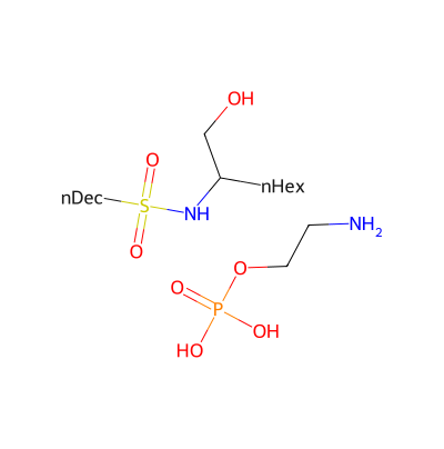 CCCCCCCCCCS(=O)(=O)NC(CO)CCCCCC.NCCOP(=O)(O)O